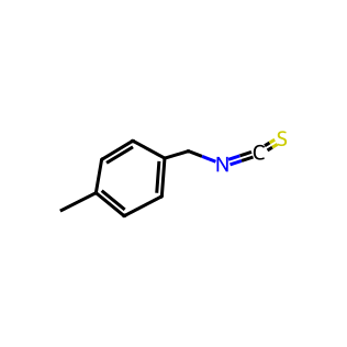 Cc1ccc(CN=C=S)cc1